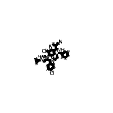 N#CCC[C@@H](Nc1c(C#N)cnc2c(Cl)cc(N[C@H](C3=CN(C4CC4)NN3)c3ccc(Cl)cc3)cc12)c1ccccc1